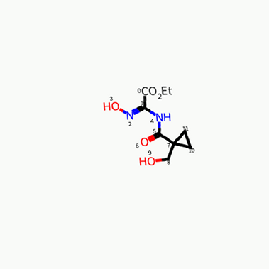 CCOC(=O)C(=NO)NC(=O)C1(CO)CC1